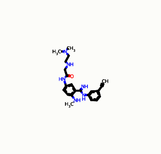 C#Cc1cccc(NC(=N)c2cc(NC(=O)CNCCN(C)C)ccc2NC)c1